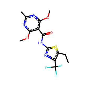 CCc1sc(NC(=O)c2c(OC)nc(C)nc2OC)nc1C(F)(F)F